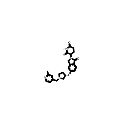 Cc1cc(CN2CC[C@H](Oc3ccc4c(c3)CN(C3CCC(=O)NC3=O)C4=O)C2)ccn1